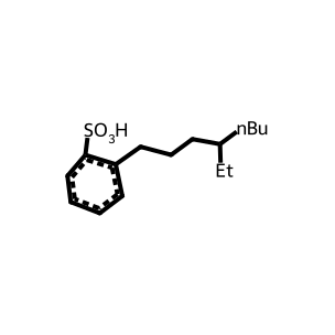 CCCCC(CC)CCCc1ccccc1S(=O)(=O)O